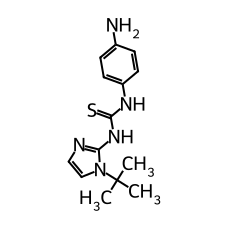 CC(C)(C)n1ccnc1NC(=S)Nc1ccc(N)cc1